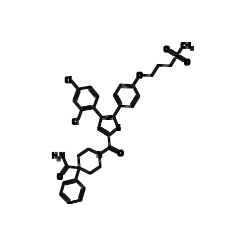 CS(=O)(=O)CCCOc1ccc(-c2sc(C(=O)N3CCC(C(N)=O)(c4ccccc4)CC3)cc2-c2ccc(Cl)cc2Cl)cc1